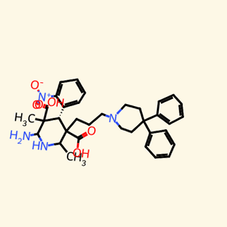 CC1NC(N)C(C)(C(=O)O)[C@H](c2ccccc2[N+](=O)[O-])C1(CCCN1CCC(c2ccccc2)(c2ccccc2)CC1)C(=O)O